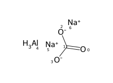 O=C([O-])[O-].[AlH3].[Na+].[Na+]